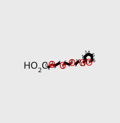 O=C(O)COCCOCCOCCOC1CCCCO1